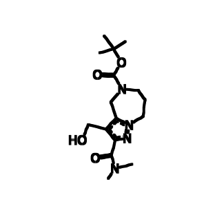 CN(C)C(=O)c1nn2c(c1CO)CN(C(=O)OC(C)(C)C)CCC2